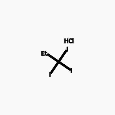 CCC(I)(I)I.Cl